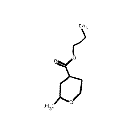 CCCOC(=O)C1CCOC(C)C1